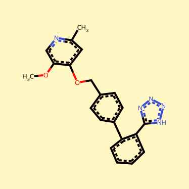 COc1cnc(C)cc1OCc1ccc(-c2ccccc2-c2nnn[nH]2)cc1